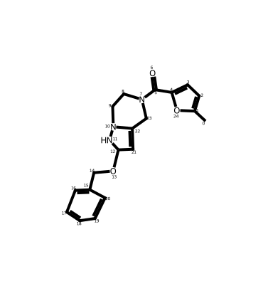 Cc1ccc(C(=O)N2CCN3NC(OCc4ccccc4)C=C3C2)o1